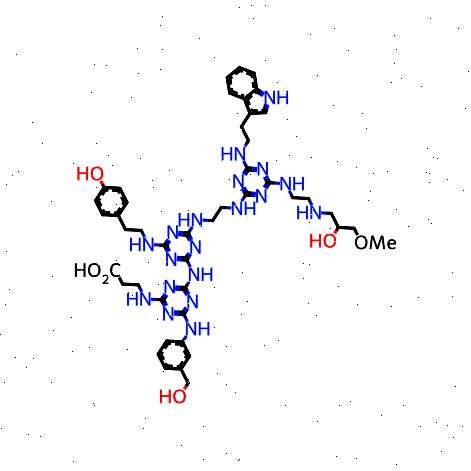 COCC(O)CNCCNc1nc(NCCNc2nc(NCCc3ccc(O)cc3)nc(Nc3nc(NCCC(=O)O)nc(Nc4cccc(CO)c4)n3)n2)nc(NCCc2c[nH]c3ccccc23)n1